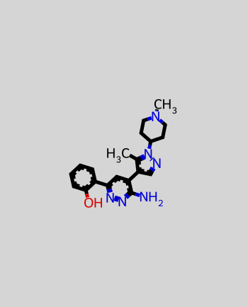 Cc1c(-c2cc(-c3ccccc3O)nnc2N)cnn1C1CCN(C)CC1